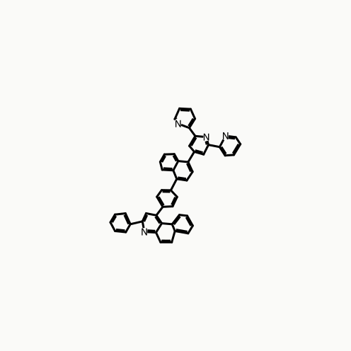 c1ccc(-c2cc(-c3ccc(-c4ccc(-c5cc(-c6ccccn6)nc(-c6ccccn6)c5)c5ccccc45)cc3)c3c(ccc4ccccc43)n2)cc1